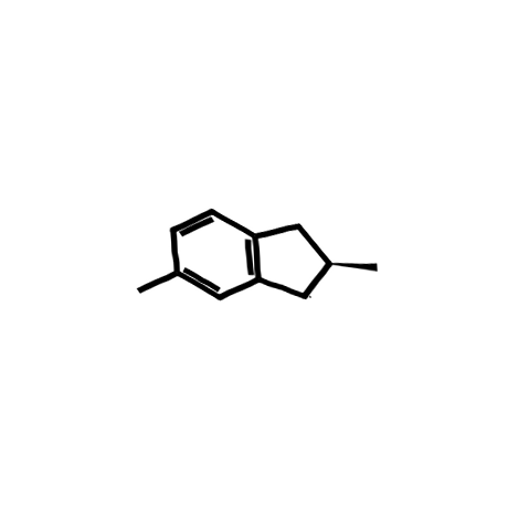 Cc1ccc2c(c1)[CH][C@H](C)C2